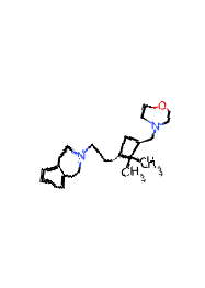 CC1(C)[C@@H](CCN2CCc3ccccc3C2)C[C@H]1CN1CCOCC1